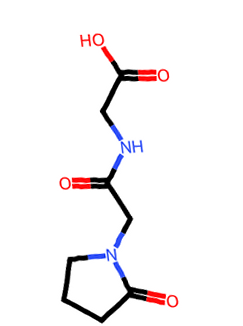 O=C(O)CNC(=O)CN1CCCC1=O